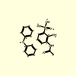 CC(=O)Nc1cccc([As](=O)(O)O)c1O.c1ccc(Oc2ccccc2)cc1